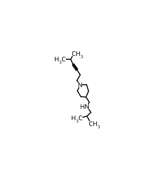 CC(C)C#CCCN1CCC(CNCC(C)C)CC1